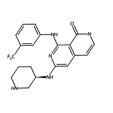 O=C1[N]C=Cc2cc(N[C@@H]3CCCNC3)nc(Nc3cccc(C(F)(F)F)c3)c21